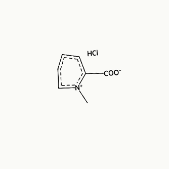 C[n+]1ccccc1C(=O)[O-].Cl